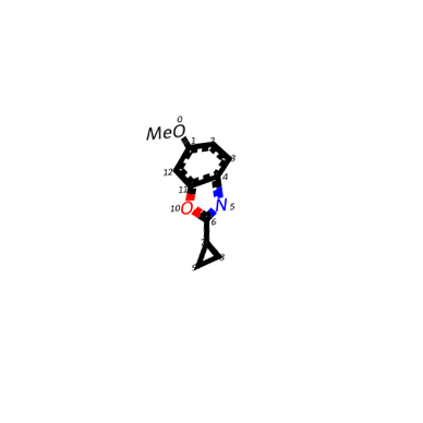 COc1ccc2nc(C3CC3)oc2c1